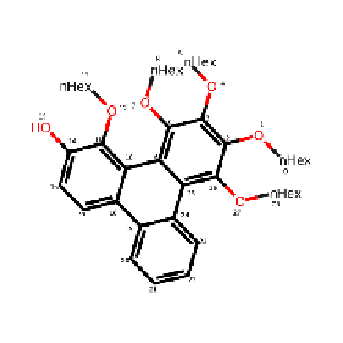 CCCCCCOc1c(OCCCCCC)c(OCCCCCC)c2c3c(OCCCCCC)c(O)ccc3c3ccccc3c2c1OCCCCCC